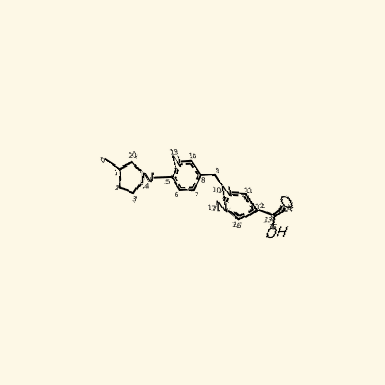 CC1CCN(c2ccc(Cn3cc(C(=O)O)cn3)cn2)C1